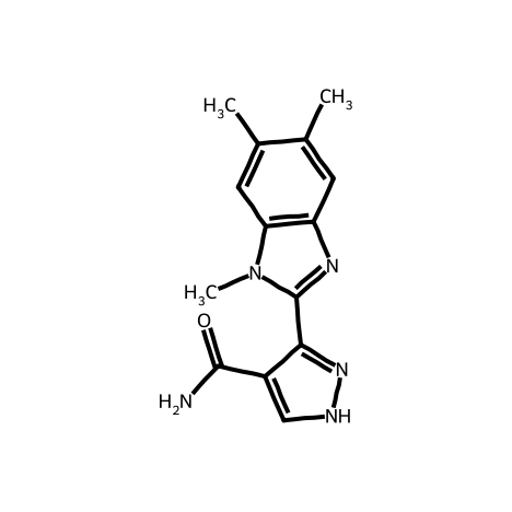 Cc1cc2nc(-c3n[nH]cc3C(N)=O)n(C)c2cc1C